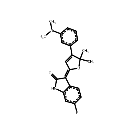 CN(C)c1cccc(C2=C/C(=C3\C(=O)Nc4cc(F)ccc43)OC2(C)C)c1